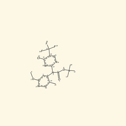 COc1cc(N(C(=O)OC(C)(C)C)c2ncc(C(F)(F)F)c(Cl)n2)c(C)cn1